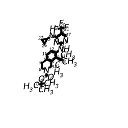 CC(C)(C)OC(=O)N1CCc2ccc(Nc3ncc(C(F)(F)F)c(NC4CC4)n3)c(C(C)(C)C)c2C1